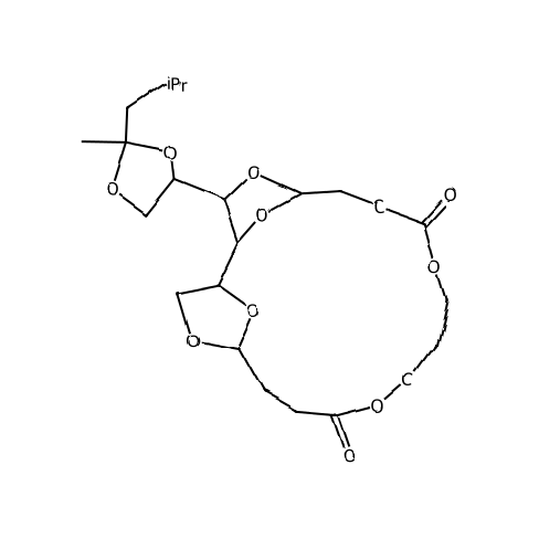 CC(C)CC1(C)OCC(C2OC3CCC(=O)OCCCOC(=O)CCC4OCC(O4)C2O3)O1